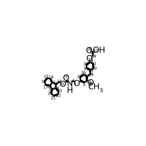 COc1cc(OCNC(=O)OCC2c3ccccc3-c3ccccc32)ccc1Cc1ccc(OCC(=O)O)cc1